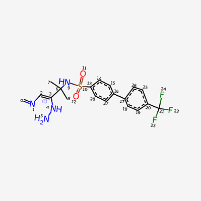 C=N/C=C(\NN)C(C)(C)NS(=O)(=O)c1ccc(-c2ccc(C(F)(F)F)cc2)cc1